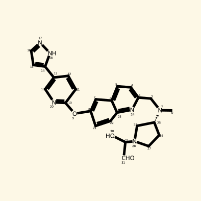 CN(Cc1ccc2cc(Oc3ccc(-c4ccn[nH]4)cn3)ccc2n1)[C@@H]1CCN(C(O)C=O)C1